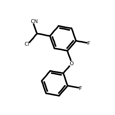 N#CC(Cl)c1ccc(F)c(Oc2ccccc2F)c1